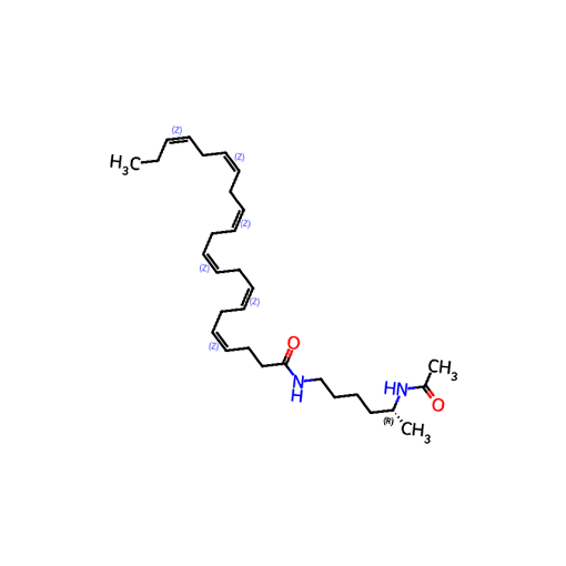 CC/C=C\C/C=C\C/C=C\C/C=C\C/C=C\C/C=C\CCC(=O)NCCCC[C@@H](C)NC(C)=O